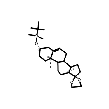 CC(C)(C)[Si](C)(C)O[C@H]1CC[C@@]2(C)C(=CCC3C2CC[C@@]2(C)C3CCC23OCCO3)C1